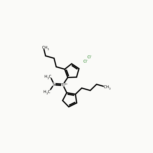 CCCCC1=[C]([Ti+2]([C]2=C(CCCC)C=CC2)=[Si](C)C)CC=C1.[Cl-].[Cl-]